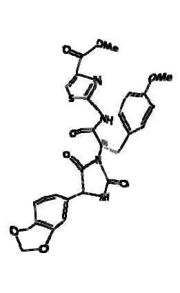 COC(=O)c1csc(NC(=O)[C@H](Cc2ccc(OC)cc2)N2C(=O)NC(c3ccc4c(c3)OCO4)C2=O)n1